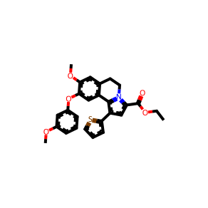 CCOC(=O)c1cc(-c2cccs2)c2n1CCc1cc(OC)c(Oc3cccc(OC)c3)cc1-2